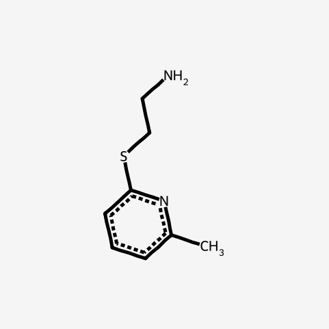 Cc1cccc(SCCN)n1